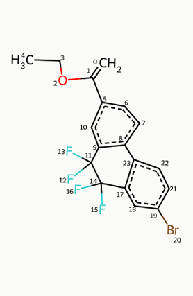 C=C(OCC)c1ccc2c(c1)C(F)(F)C(F)(F)c1cc(Br)ccc1-2